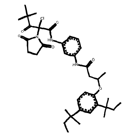 CCC(C)(C)c1ccc(OC(C)CC(=O)Nc2cccc(NC(=O)C(Cl)(C(=O)C(C)(C)C)N3C(=O)CCC3=O)c2)c(C(C)(C)CC)c1